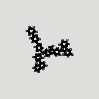 CC1(C)c2cc(N(c3ccc(-c4ccc(-c5ccccc5)cc4)cc3)c3cccc(-c4cccc5ccccc45)c3)ccc2-c2ccc(-n3c4ccccc4c4ccccc43)cc21